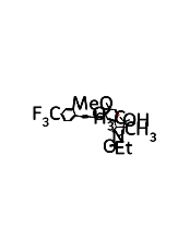 CCC(=O)N1C[C@@H](c2ccc(OC)c(OCC#Cc3ccc(C(F)(F)F)cc3)c2)[C@](C)([C@@H](C)O)C1